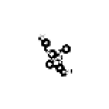 CC(C)Oc1cccc(CN2CCC3(CC2)C(NC2CCCCC2)=NC(=O)N3c2ccccc2-c2ccc3[nH]ccc3c2)c1